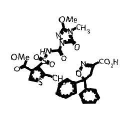 COC(=O)c1csc(C)c1S(=O)(=O)NC(=O)n1nc(OC)n(C)c1=O.O=C(O)C1=NOC(c2ccccc2)(c2ccccc2)C1